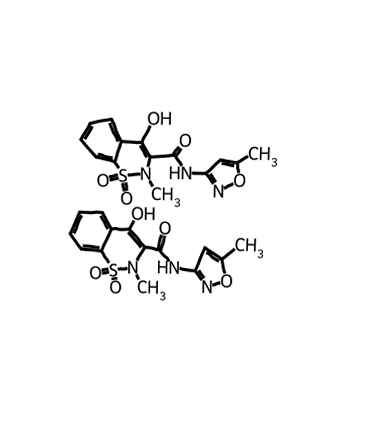 Cc1cc(NC(=O)C2=C(O)c3ccccc3S(=O)(=O)N2C)no1.Cc1cc(NC(=O)C2=C(O)c3ccccc3S(=O)(=O)N2C)no1